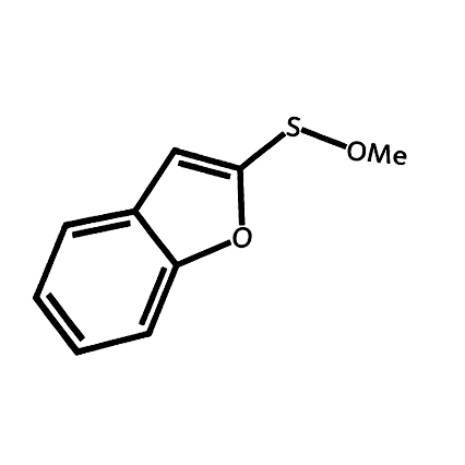 COSc1cc2ccccc2o1